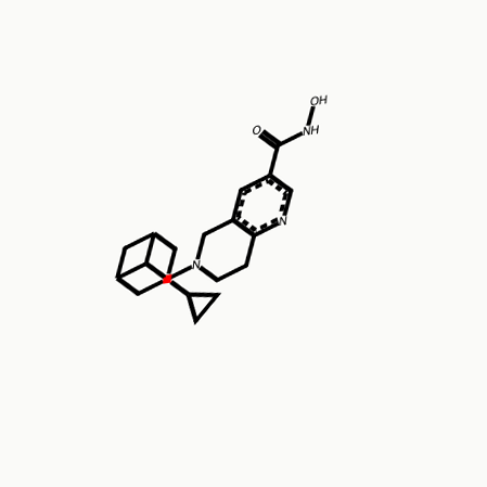 O=C(NO)c1cnc2c(c1)CN(CC1C3CC1CN(C1CC1)C3)CC2